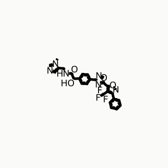 Cn1cncc1CNC(=O)C(O)c1ccc(-c2noc(-c3onc(-c4ccccc4)c3C(F)(F)F)n2)cc1